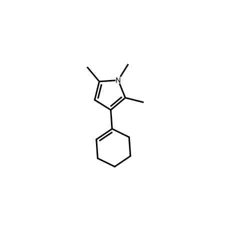 Cc1cc(C2=CCCCC2)c(C)n1C